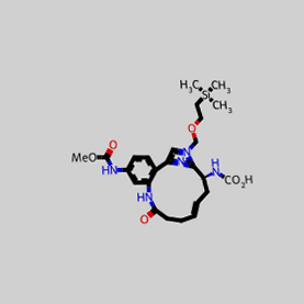 COC(=O)Nc1ccc2c(c1)NC(=O)CC/C=C/C[C@H](NC(=O)O)c1nc-2cn1COCC[Si](C)(C)C